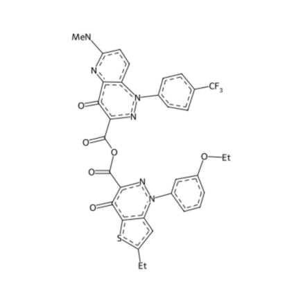 CCOc1cccc(-n2nc(C(=O)OC(=O)c3nn(-c4ccc(C(F)(F)F)cc4)c4ccc(NC)nc4c3=O)c(=O)c3sc(CC)cc32)c1